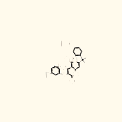 CC1(C)c2ccc(C(F)(F)F)cc2-n2c1cc1oc(=O)c(Sc3cccc(F)c3)c(O)c1c2=O